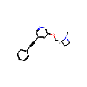 CN1CC[C@H]1COc1cncc(C#Cc2ccccc2)c1